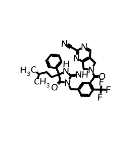 CC(C)CCC1(c2ccccc2)NC(=N)N(Cc2ccc(C(F)(F)F)c(C(=O)N3Cc4cnc(C#N)nc4C3)c2)C1=O